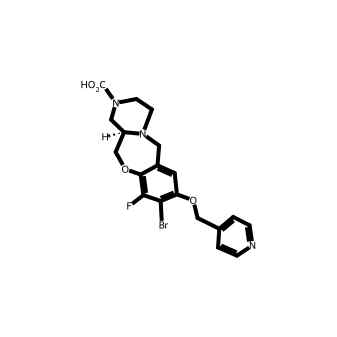 O=C(O)N1CCN2Cc3cc(OCc4ccncc4)c(Br)c(F)c3OC[C@H]2C1